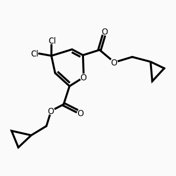 O=C(OCC1CC1)C1=CC(Cl)(Cl)C=C(C(=O)OCC2CC2)O1